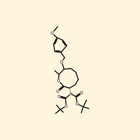 COc1ccc(COC2CCCC[C@H](N(C(=O)OC(C)(C)C)C(=O)OC(C)(C)C)C(=O)OC2C)cc1